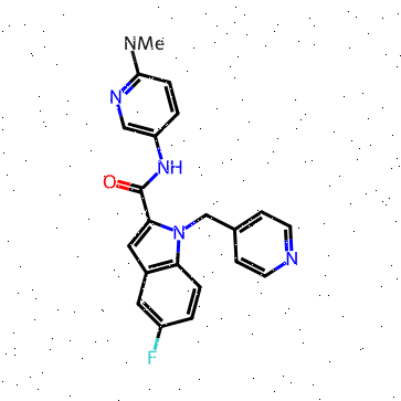 CNc1ccc(NC(=O)c2cc3cc(F)ccc3n2Cc2ccncc2)cn1